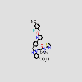 COC(Cn1c(Cc2ccc(-c3cccc(OCc4ccc(C#N)cc4F)n3)cc2)nc2ccc(C(=O)O)cc21)C(=O)Nc1nccs1